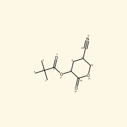 CC(C)(C)C(=O)OC1CC(C#N)COC1=O